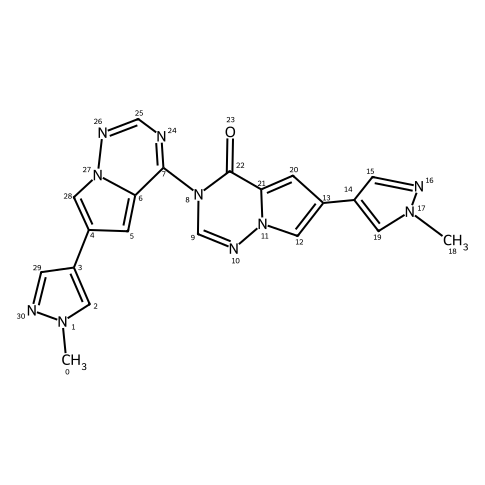 Cn1cc(-c2cc3c(-n4cnn5cc(-c6cnn(C)c6)cc5c4=O)ncnn3c2)cn1